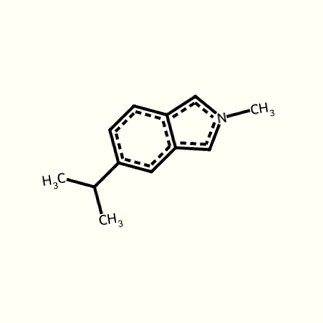 CC(C)c1ccc2cn(C)cc2c1